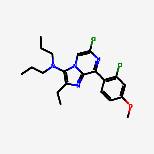 CCCN(CCC)c1c(CC)nc2c(-c3ccc(OC)cc3Cl)nc(Cl)cn12